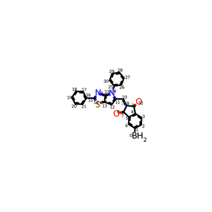 Bc1ccc2c(c1)C(=O)/C(=C\c1cc3sc(-c4ccccc4)nc3n1-c1ccccc1)C2=O